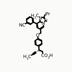 CC#C[C@@H](CC(=O)O)c1ccc(OCC2=CN3N=C(C(C)C)N(C)C3C(c3cccc(C#N)c3)=C2)cc1